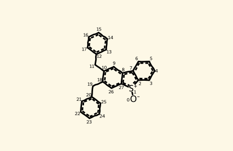 [O-][s+]1c2ccccc2c2cc(Cc3ccccc3)c(Cc3ccccc3)cc21